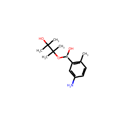 Cc1ccc(N)cc1B(O)OC(C)(C)C(C)(C)O